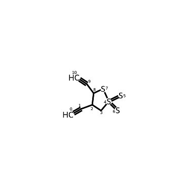 C#CC1CS(=S)(=S)SC1C#C